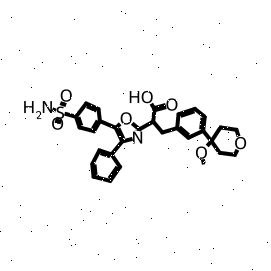 COC1(c2cccc(CC(C(=O)O)c3nc(-c4ccccc4)c(-c4ccc(S(N)(=O)=O)cc4)o3)c2)CCOCC1